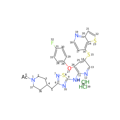 CC(=O)N1CCC(Cc2nsc(Nc3ncc(Sc4ccnc5ccsc45)cc3Oc3ccc(F)cc3)n2)CC1.Cl.Cl